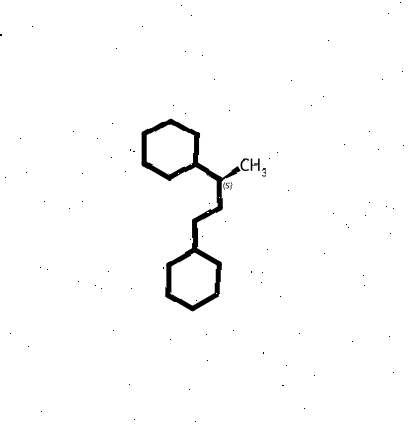 C[C@@H](CCC1CCCCC1)C1CCCCC1